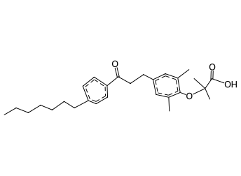 CCCCCCCc1ccc(C(=O)CCc2cc(C)c(OC(C)(C)C(=O)O)c(C)c2)cc1